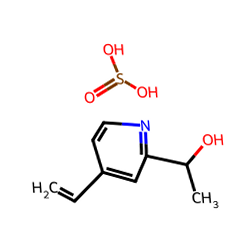 C=Cc1ccnc(C(C)O)c1.O=S(O)O